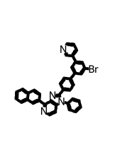 Brc1cc(-c2ccc(-c3nc4c(-c5ccc6ccccc6c5)nccc4n3-c3ccccc3)cc2)cc(-c2cccnc2)c1